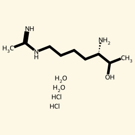 CC(=N)NCCCC[C@H](N)C(C)O.Cl.Cl.O.O